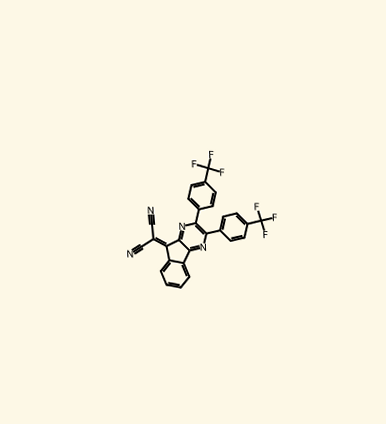 N#CC(C#N)=C1c2ccccc2-c2nc(-c3ccc(C(F)(F)F)cc3)c(-c3ccc(C(F)(F)F)cc3)nc21